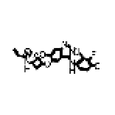 C=CC(=O)NC1CC(Oc2cc3c(Nc4ccc(Cl)c(F)c4Cl)ncnc3cc2OC)C1